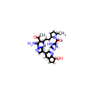 CC(=O)c1c(CCC2CCC(C)N2C(=O)c2nnc[nH]2)nc2c(-c3cnc4c(c3)CCC4O)cnn2c1N